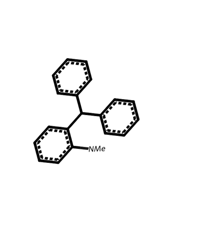 CNc1ccccc1C(c1ccccc1)c1ccccc1